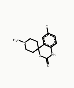 CN1CCC2(CC1)OC(=O)Nc1ccc(Cl)cc12